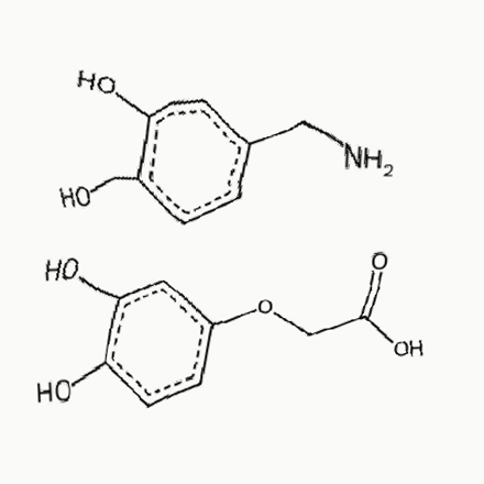 NCc1ccc(O)c(O)c1.O=C(O)COc1ccc(O)c(O)c1